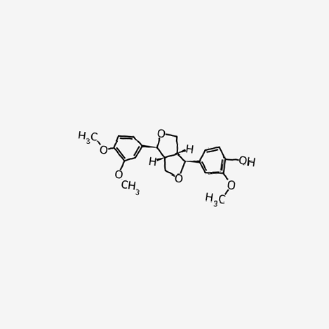 COc1cc([C@H]2OC[C@H]3[C@@H]2CO[C@@H]3c2ccc(OC)c(OC)c2)ccc1O